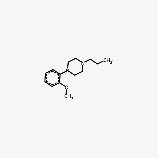 [CH2]CCN1CCN(c2ccccc2OC)CC1